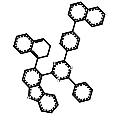 C1=c2ccccc2=C(c2ccc3oc4ccccc4c3c2-c2nc(-c3ccccc3)nc(-c3ccc(-c4cccc5ccccc45)cc3)n2)CC1